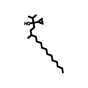 CCCCCCCCCCCCC(C)CCC(O)(C(C)C)C1CC1